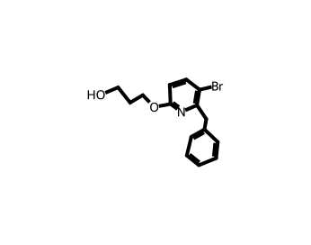 OCCCOc1ccc(Br)c(Cc2ccccc2)n1